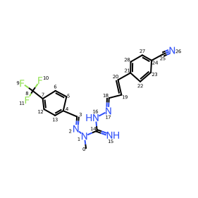 CN(N=Cc1ccc(C(F)(F)F)cc1)C(=N)NN=C/C=C/c1ccc(C#N)cc1